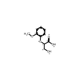 COc1ccccc1OC(CO)C(=O)O